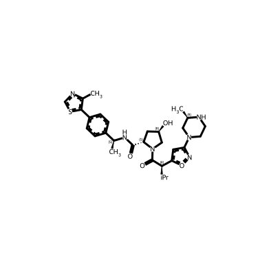 Cc1ncsc1-c1ccc([C@H](C)NC(=O)[C@@H]2C[C@@H](O)CN2C(=O)[C@@H](c2cc(N3CCN[C@H](C)C3)no2)C(C)C)cc1